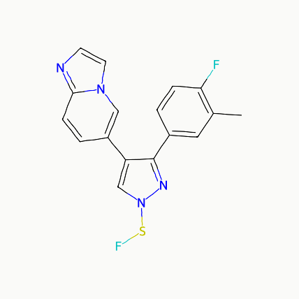 Cc1cc(-c2nn(SF)cc2-c2ccc3nccn3c2)ccc1F